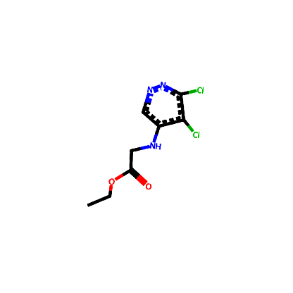 CCOC(=O)CNc1cnnc(Cl)c1Cl